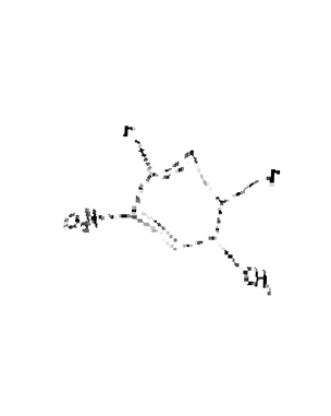 CC1C=C([N+](=O)[O-])C(F)=CC1F